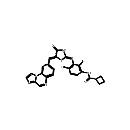 O=C1N/C(=N/c2c(Cl)ccc(NC(=O)C3CCC3)c2Cl)S/C1=C\c1ccc2ncc3nccn3c2c1